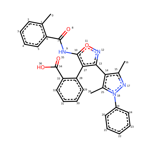 Cc1ccccc1C(=O)Nc1onc(-c2c(C)nn(-c3ccccc3)c2C)c1-c1ccccc1C(=O)O